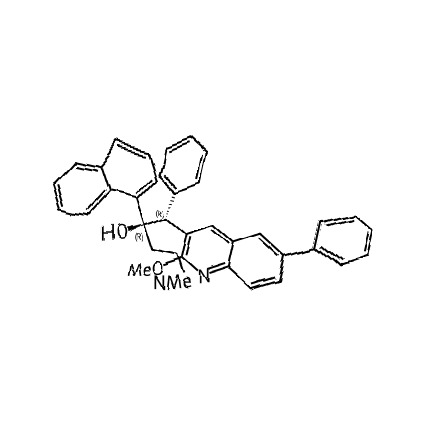 CNCC[C@](O)(c1cccc2ccccc12)[C@H](c1ccccc1)c1cc2cc(-c3ccccc3)ccc2nc1OC